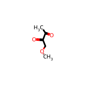 COCC(=O)C(C)=O